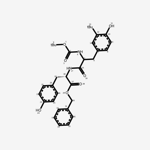 CC(C)(C)OC(=O)NC(Cc1ccc(O)c(C(C)(C)C)c1)C(=O)N[C@@H](Cc1ccc(O)cc1)C(=O)OCc1ccccc1